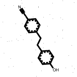 N#Cc1ccc(CCc2ccc(O)cc2)cc1